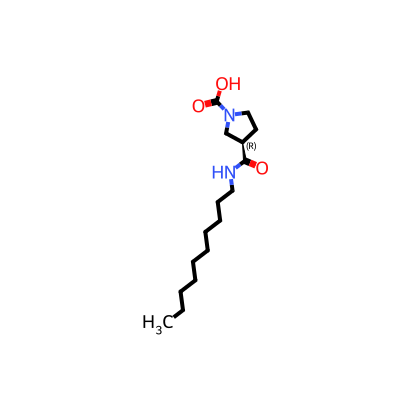 CCCCCCCCCCNC(=O)[C@@H]1CCN(C(=O)O)C1